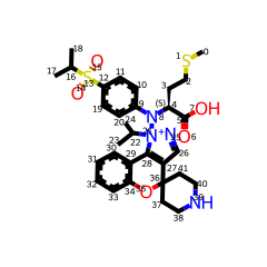 CSCC[C@@H](C(=O)O)N(c1ccc(S(=O)(=O)C(C)C)cc1)[N+]1(C(C)C)N=CC2=C1c1ccccc1OC21CCNCC1